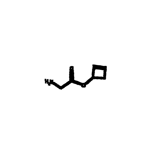 NCC(=O)OC1C=CC1